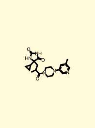 Cc1cncc(N2CCN(C(=O)C(C)CC3(C4CC4)NC(=O)NC3=O)CC2)c1